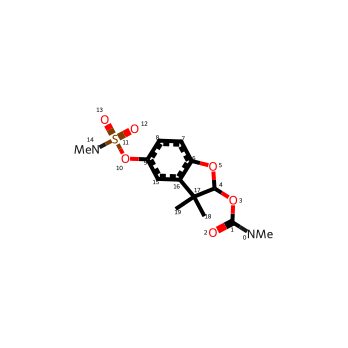 CNC(=O)OC1Oc2ccc(OS(=O)(=O)NC)cc2C1(C)C